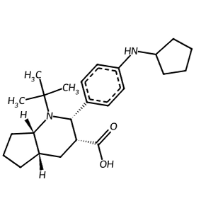 CC(C)(C)N1[C@H](c2ccc(NC3CCCC3)cc2)[C@H](C(=O)O)C[C@@H]2CCC[C@@H]21